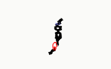 C=CCCOCc1ccc(C2CCC(/C=C/CC)CC2)cc1